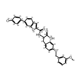 COc1cccc(COc2ccc(CC(NC(=O)c3cc4ccc(-c5ccc(Cl)cc5)cc4o3)C(=O)O)cc2)c1